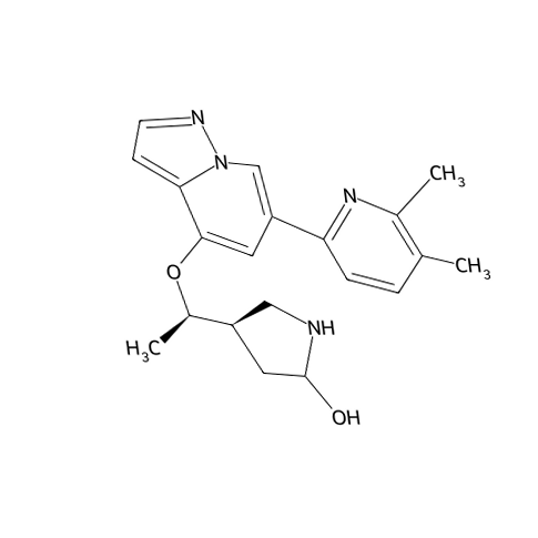 Cc1ccc(-c2cc(O[C@H](C)[C@H]3CNC(O)C3)c3ccnn3c2)nc1C